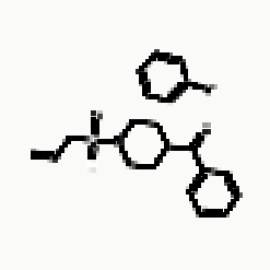 C=CCS(=O)(=O)N1CCC(C(=O)c2ccccc2)CC1.Clc1ccccc1